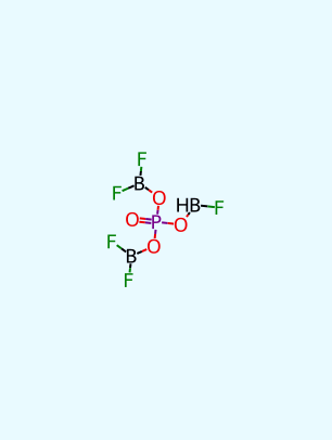 O=P(OBF)(OB(F)F)OB(F)F